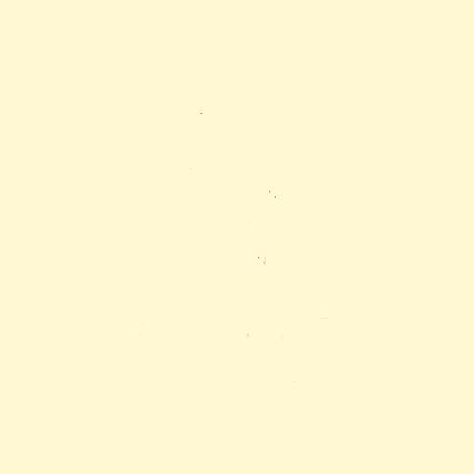 O=C(Nc1sc(Br)cc1C(=O)O)Nc1c(Cl)cccc1Cl